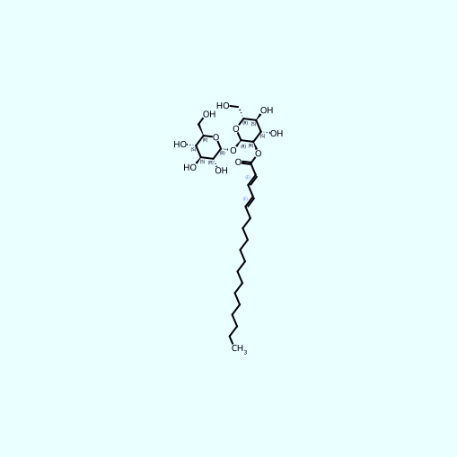 CCCCCCCCCCCCC/C=C/C=C/C(=O)O[C@H]1[C@@H](O[C@H]2O[C@H](CO)[C@@H](O)[C@H](O)[C@H]2O)O[C@H](CO)[C@@H](O)[C@@H]1O